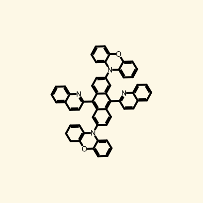 C1=CC2=C(CC1)Oc1ccccc1N2c1ccc2c(-c3ccc4ccccc4n3)c3cc(N4c5ccccc5Oc5ccccc54)ccc3c(-c3ccc4ccccc4n3)c2c1